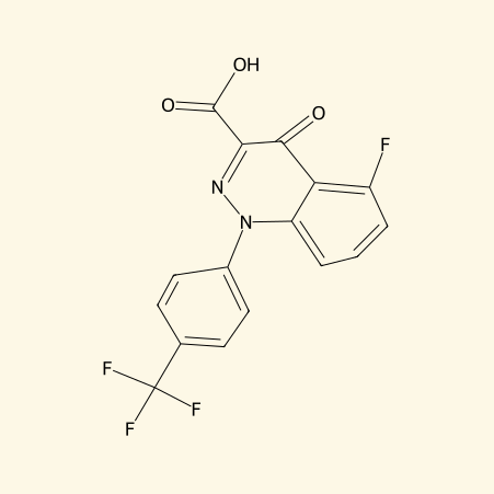 O=C(O)c1nn(-c2ccc(C(F)(F)F)cc2)c2cccc(F)c2c1=O